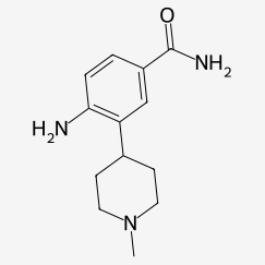 CN1CCC(c2cc(C(N)=O)ccc2N)CC1